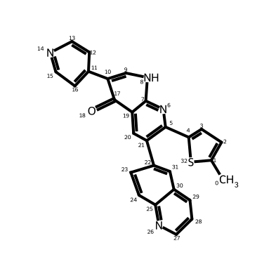 Cc1ccc(-c2nc3[nH]cc(-c4ccncc4)c(=O)c3cc2-c2ccc3ncccc3c2)s1